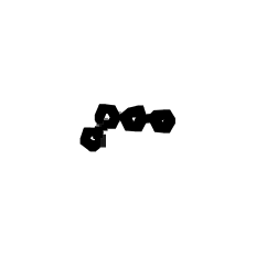 c1ccc(-c2ccc([C@@H]3CCCN(C4=NCCC4)C3)cc2)cc1